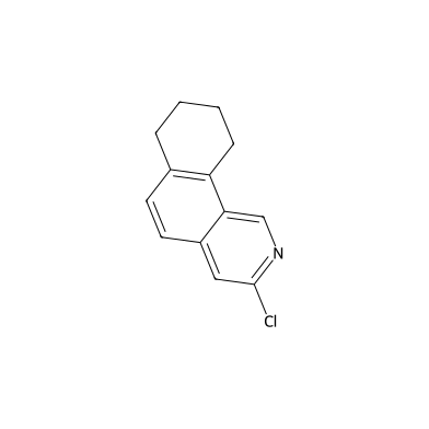 Clc1cc2ccc3c(c2cn1)CCCC3